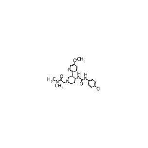 COc1ccc(C2CN(CC(=O)N(C)C)CCC2NC(=O)Nc2ccc(Cl)cc2)nc1